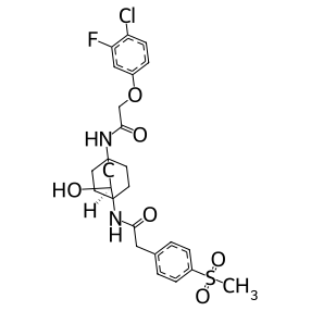 CS(=O)(=O)c1ccc(CC(=O)NC23CCC(NC(=O)COc4ccc(Cl)c(F)c4)(CC2)C[C@@H]3O)cc1